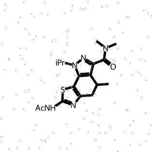 CC(=O)Nc1nc2c(s1)-c1c(c(C(=O)N(C)C)nn1C(C)C)C(C)C2